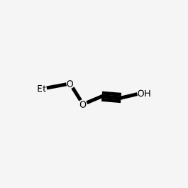 CCOOC#CO